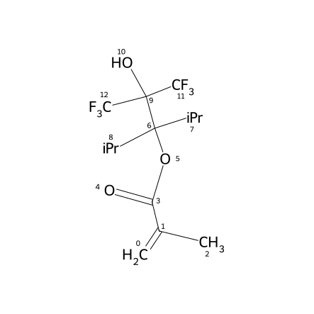 C=C(C)C(=O)OC(C(C)C)(C(C)C)C(O)(C(F)(F)F)C(F)(F)F